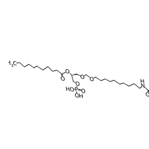 CCCCCCCCCCC(=O)O[C@@H](COCOCCCCCCCCCCNC(C)=O)COP(=O)(O)O